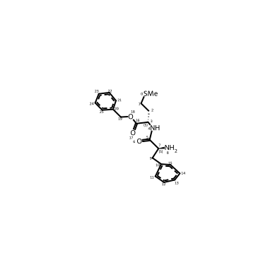 CSCC[C@H](NC(=O)[C@@H](N)Cc1ccccc1)C(=O)OCc1ccccc1